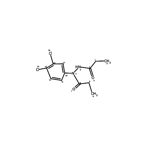 CCC(=O)NN(C(=O)CC)c1ccc(Cl)c(Cl)c1